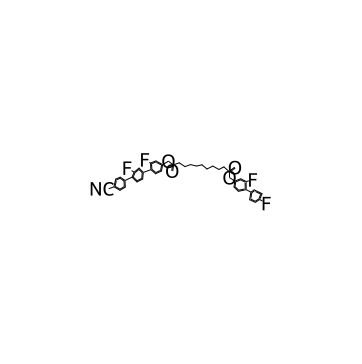 N#Cc1ccc(-c2ccc(-c3ccc(OC(=O)CCCCCCCCCC(=O)Oc4ccc(-c5ccc(F)cc5)c(F)c4)cc3F)cc2F)cc1